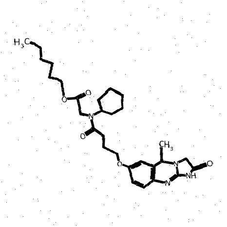 CCCCCCOC(=O)CN(C(=O)CCCOc1ccc2c(c1)C(C)N1CC(=O)NC1=N2)C1CCCCC1